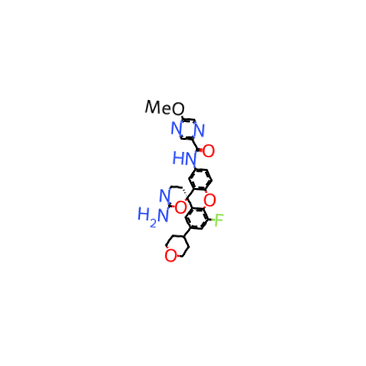 COc1cnc(C(=O)Nc2ccc3c(c2)[C@@]2(CCN=C(N)O2)c2cc(C4CCOCC4)cc(F)c2O3)cn1